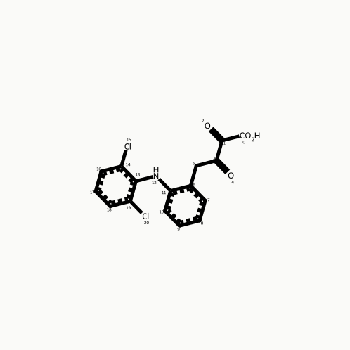 O=C(O)C(=O)C(=O)Cc1ccccc1Nc1c(Cl)cccc1Cl